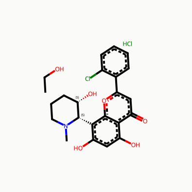 CCO.CN1CCC[C@H](O)[C@@H]1c1c(O)cc(O)c2c(=O)cc(-c3ccccc3Cl)oc12.Cl